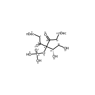 CCCCCCCCCCCC(=O)C(OP(=O)(O)O)(C(=O)CCCCCCCCCCC)[C@@H](O)CO